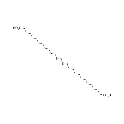 O=C(O)CCCCCCCCCCCSSSSCCCCCCCCCCCC(=O)O